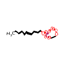 CCCCCCCCCCOOP1(=O)OCCOOOOO1